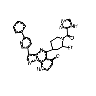 CCC1CC(c2nc3c(-c4ccc(-c5ccccc5)nc4)cnn3c3[nH]ccc(=O)c23)CCN1C(=O)c1nnc[nH]1